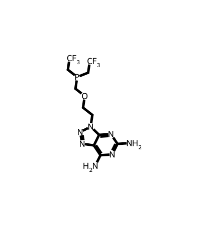 Nc1nc(N)c2nnn(CCOCP(CC(F)(F)F)CC(F)(F)F)c2n1